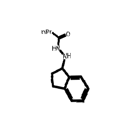 CCCC(=O)NNC1CCc2ccccc21